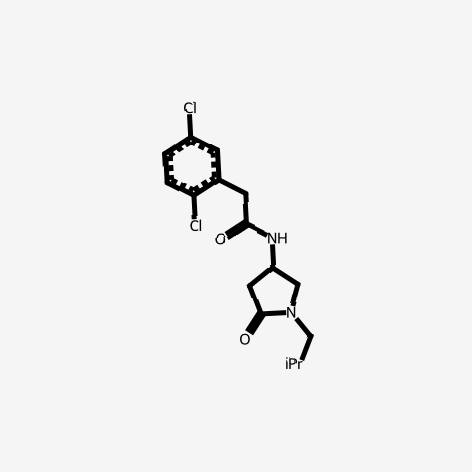 CC(C)CN1CC(NC(=O)Cc2cc(Cl)ccc2Cl)CC1=O